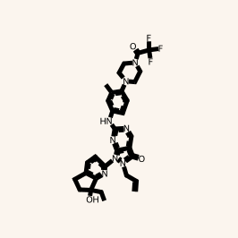 C=CCn1c(=O)c2cnc(Nc3ccc(N4CCN(C(=O)C(F)(F)F)CC4)c(C)c3)nc2n1-c1ccc2c(n1)C(O)(CC)CC2